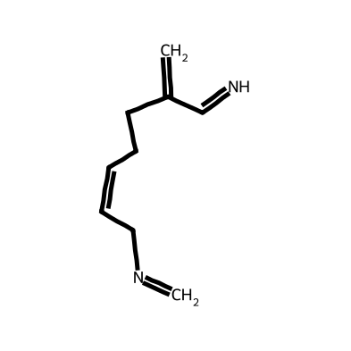 C=NC/C=C\CCC(=C)C=N